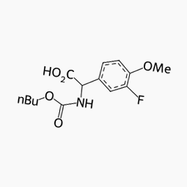 CCCCOC(=O)NC(C(=O)O)c1ccc(OC)c(F)c1